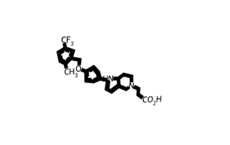 Cc1ccc(C(F)(F)F)cc1COc1ccc(C2=CC=C3CN(CCC(=O)O)CCC3N2)cc1